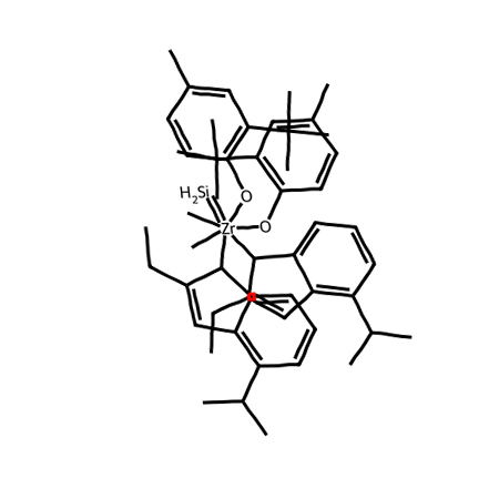 CCC1=Cc2c(C(C)C)cccc2[CH]1[Zr]([CH3])([CH3])(=[SiH2])([O]c1ccc(C)cc1C(C)(C)C)([O]c1ccc(C)cc1C(C)(C)C)[CH]1C(CC)=Cc2c(C(C)C)cccc21